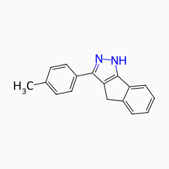 Cc1ccc(-c2n[nH]c3c2Cc2ccccc2-3)cc1